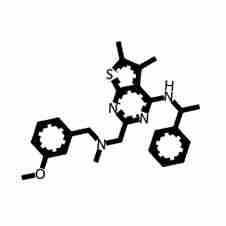 COc1cccc(CN(C)Cc2nc(NC(C)c3ccccc3)c3c(C)c(C)sc3n2)c1